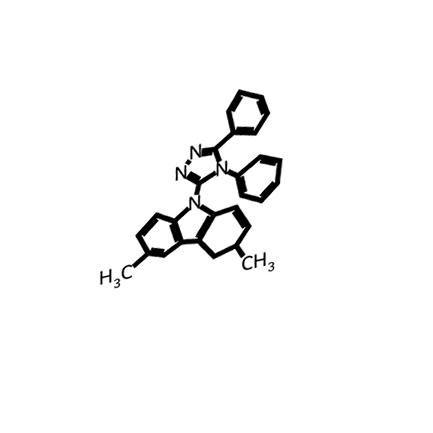 Cc1ccc2c(c1)c1c(n2-c2nnc(-c3ccccc3)n2-c2ccccc2)C=CC(C)C1